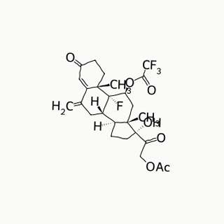 C=C1C[C@H]2[C@@H]3CC[C@](O)(C(=O)COC(C)=O)[C@@]3(C)C[C@H](OC(=O)C(F)(F)F)[C@]2(F)[C@@]2(C)CCC(=O)C=C12